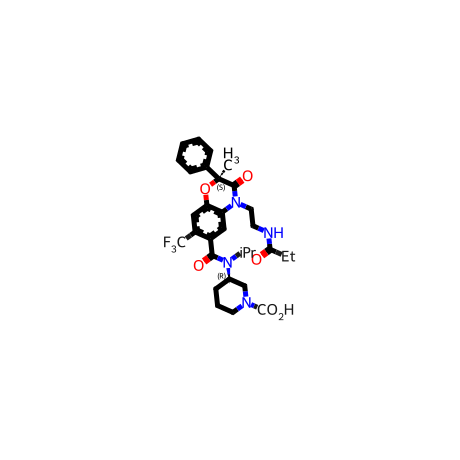 CCC(=O)NCCN1C(=O)[C@](C)(c2ccccc2)Oc2cc(C(F)(F)F)c(C(=O)N(C(C)C)[C@@H]3CCCN(C(=O)O)C3)cc21